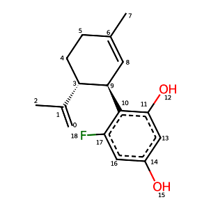 C=C(C)[C@@H]1CCC(C)=C[C@H]1c1c(O)cc(O)cc1F